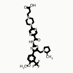 COc1ccc(-c2nc(NC(=O)c3cnc(N4CCN(CCC(=O)O)CC4)cn3)sc2CN2CCC[C@H]2C)cc1C(F)(F)F